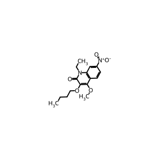 CCCCOc1c(OC)c2ccc([N+](=O)[O-])cc2n(CC)c1=O